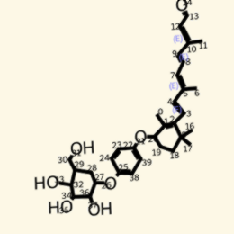 CC1=C(/C=C/C(C)=C/C=C/C(C)=C/C=O)C(C)(C)CCC1Oc1ccc(OC2CC(CO)C(O)C(O)C2O)cc1